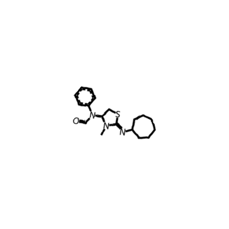 CN1C(=NC2CCCCCC2)SCC1N(C=O)c1ccccc1